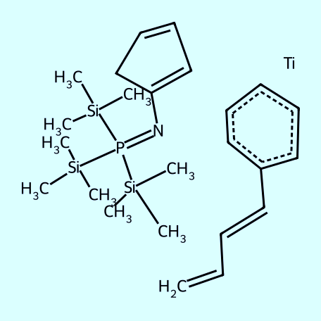 C=CC=Cc1ccccc1.C[Si](C)(C)P(=NC1=CC=CC1)([Si](C)(C)C)[Si](C)(C)C.[Ti]